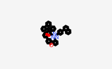 c1ccc(-c2ccc3oc4cccc(-c5nc(-c6ccc(-c7cccc8ccccc78)cc6)nc(-c6cccc(C7(c8ccccc8)c8ccccc8-c8ccccc87)c6)n5)c4c3c2)cc1